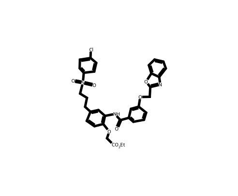 CCOC(=O)COc1ccc(CCCS(=O)(=O)c2ccc(Cl)cc2)cc1NC(=O)c1cccc(OCc2nc3ccccc3o2)c1